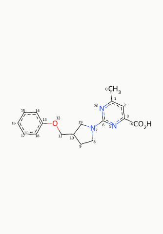 Cc1cc(C(=O)O)nc(N2CCC(COc3ccccc3)C2)n1